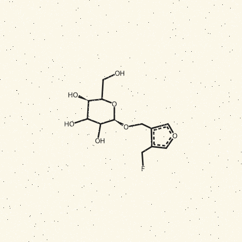 OCC1O[C@@H](OCc2cocc2CF)C(O)C(O)[C@H]1O